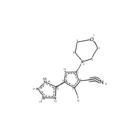 N#Cc1c(N2CCOCC2)sc(-c2nnn[nH]2)c1I